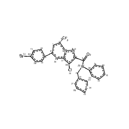 O=C(c1nn2c(C(F)(F)F)cc(-c3ccc(Br)cc3)nc2c1Cl)N(Cc1ccccc1)c1ccccc1